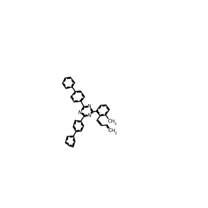 C=C/C=C\c1c(C)cccc1-c1nc(-c2ccc(-c3ccccc3)cc2)nc(-c2ccc(-c3ccccc3)cc2)n1